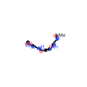 CNC(=O)c1cn(CCCCc2ccc(NC(=O)CN3CCC(c4ccc(CNC(=O)c5cn(CCCCc6ccc(NC(=O)CN7CCCCC7=O)nn6)nn5)cc4)CC3)nn2)nn1